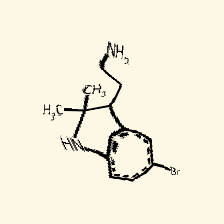 CC1(C)Nc2ccc(Br)cc2C1CCN